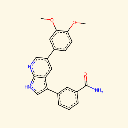 COc1ccc(-c2cnc3[nH]cc(-c4cccc(C(N)=O)c4)c3c2)cc1OC